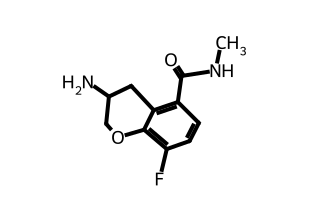 CNC(=O)c1ccc(F)c2c1CC(N)CO2